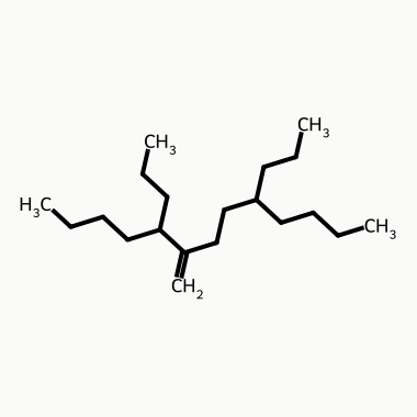 C=C(CCC(CCC)CCCC)C(CCC)CCCC